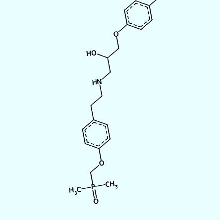 CP(C)(=O)COc1ccc(CCNCC(O)COc2ccc(O)cc2)cc1